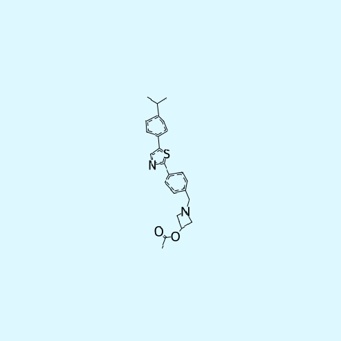 CC(=O)OC1CN(Cc2ccc(-c3ncc(-c4ccc(C(C)C)cc4)s3)cc2)C1